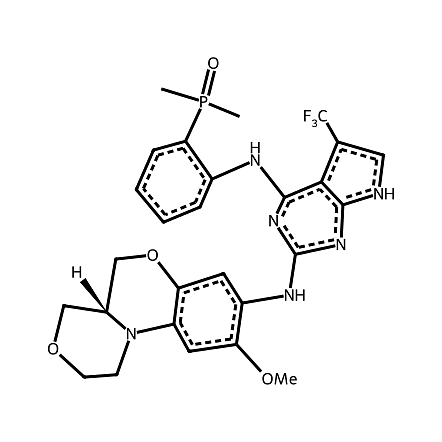 COc1cc2c(cc1Nc1nc(Nc3ccccc3P(C)(C)=O)c3c(C(F)(F)F)c[nH]c3n1)OC[C@H]1COCCN21